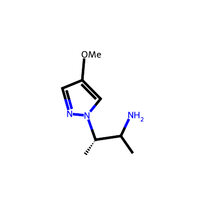 COc1cnn([C@@H](C)C(C)N)c1